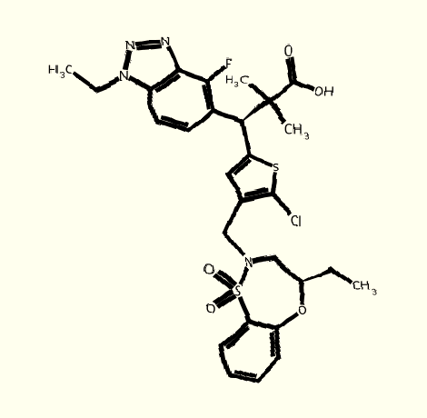 CC[C@@H]1CN(Cc2cc([C@@H](c3ccc4c(nnn4CC)c3F)C(C)(C)C(=O)O)sc2Cl)S(=O)(=O)c2ccccc2O1